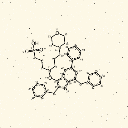 O=S(=O)(O)CCCN(CCCN1CCOCC1)Oc1c(Cc2ccccc2)nc2c(Cc3ccccc3)nc(-c3ccccc3)cn12